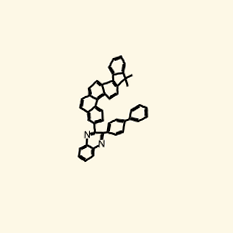 CC1(C)c2ccccc2-c2c1ccc1c2ccc2ccc3cc(-c4nc5ccccc5nc4-c4ccc(-c5ccccc5)cc4)ccc3c21